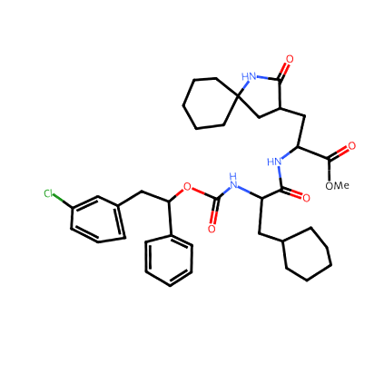 COC(=O)C(CC1CC2(CCCCC2)NC1=O)NC(=O)C(CC1CCCCC1)NC(=O)OC(Cc1cccc(Cl)c1)c1ccccc1